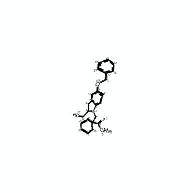 COC(=O)C1(CN2c3ccc(OCc4ccccc4)cc3CC2CO)C=CC=CC1